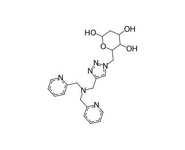 OC1CC(O)C(O)C(Cn2cc(CN(Cc3ccccn3)Cc3ccccn3)nn2)O1